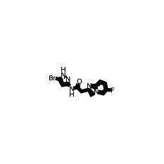 O=C(Cc1cn2cc(F)ccc2n1)Nc1cc(Br)[nH]n1